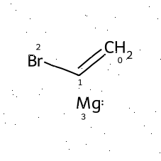 C=CBr.[Mg]